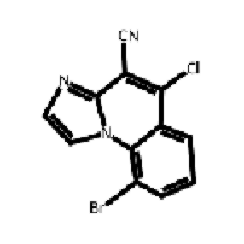 N#Cc1c(Cl)c2cccc(Br)c2n2ccnc12